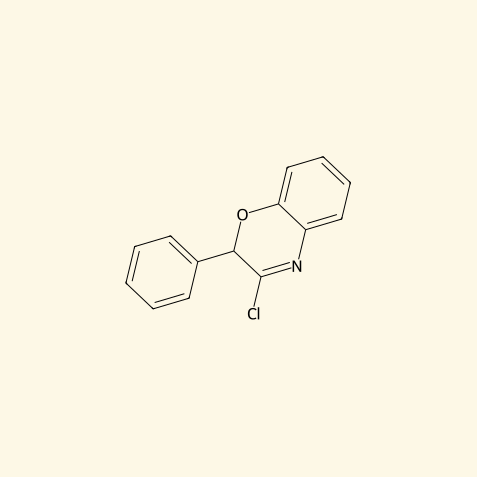 ClC1=Nc2ccccc2OC1c1ccccc1